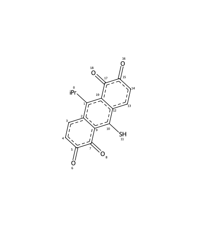 CC(C)c1c2ccc(=O)c(=O)c2c(S)c2ccc(=O)c(=O)c12